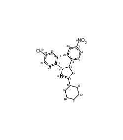 O=[N+]([O-])c1ccc(C2CC(C3CCCCC3)=NN2c2ccc(Cl)cc2)cc1